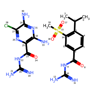 CC(C)c1ccc(C(=O)NC(=N)N)cc1S(C)(=O)=O.N=C(N)NC(=O)c1nc(Cl)c(N)nc1N